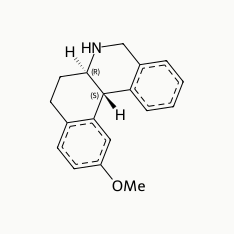 COc1ccc2c(c1)[C@H]1c3ccccc3CN[C@@H]1CC2